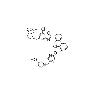 Cc1nc(CN2CCC(O)C2)cnc1OCc1cccc(-c2cccc(-c3nc4cc(CN5CCC(C(=O)O)C5)cc(Cl)c4o3)c2C)c1Cl